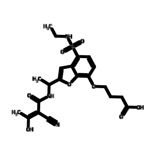 CCNS(=O)(=O)c1ccc(OCCCC(=O)O)c2oc(C(C)NC(=O)/C(C#N)=C(\C)O)cc12